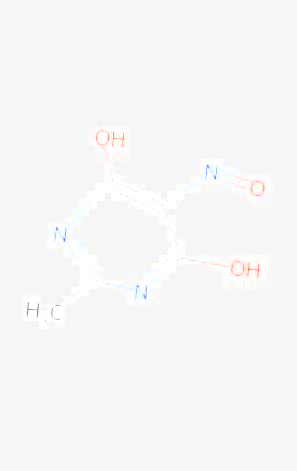 Cc1nc(O)c(N=O)c(O)n1